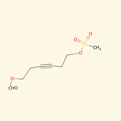 CS(=O)(=O)OCCC#CCCOC=O